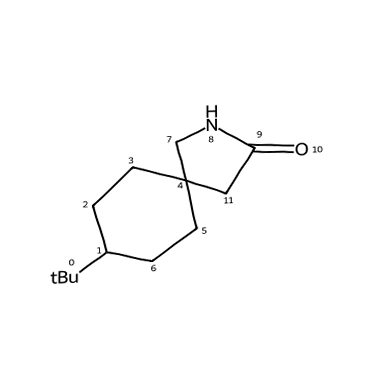 CC(C)(C)C1CCC2(CC1)CNC(=O)C2